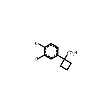 O=C(O)C1(c2ccc(Cl)c(Cl)c2)CCC1